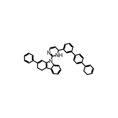 C1=CCCC(c2ccc(-c3cccc(C4C=CN=C(n5c6c(c7ccccc75)CCC(c5ccccc5)=C6)N4)c3)cc2)=C1